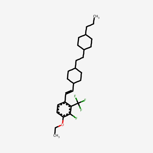 CCCC1CCC(CCC2CCC(/C=C/c3ccc(OCC)c(F)c3C(F)(F)F)CC2)CC1